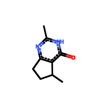 Cc1nc2c(c(=O)[nH]1)C(C)CC2